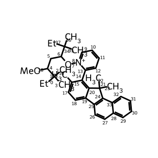 CCC(C)(C)C(CC(O[n+]1ccccc1-c1c(C)ccc2c1C(C)(C)c1c-2ccc2ccccc12)C(C)(C)CC)OC